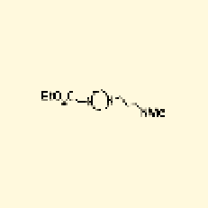 CCOC(=O)CN1CCN(CCCNC)CC1